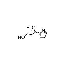 CC(CCO)n1cccn1